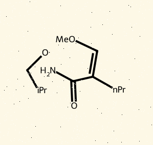 CC(C)C[O].CCCC(=COC)C(N)=O